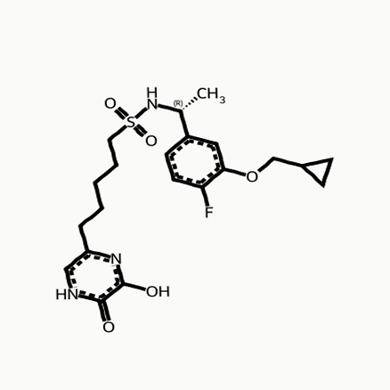 C[C@@H](NS(=O)(=O)CCCCCc1c[nH]c(=O)c(O)n1)c1ccc(F)c(OCC2CC2)c1